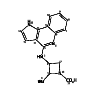 CC(C)(C)C1C(Nc2nc3ccccc3c3[nH]ccc23)CN1C(=O)O